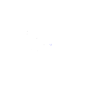 CC=CSC(N)=S.[Zn]